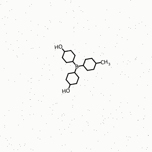 CC1CCC(B(C2CCC(O)CC2)C2CCC(O)CC2)CC1